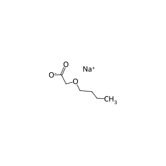 CCCCOCC(=O)[O-].[Na+]